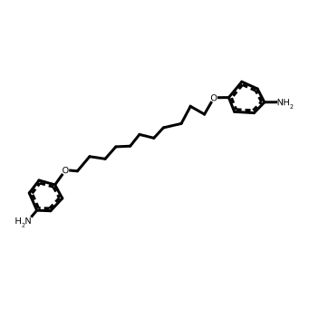 Nc1ccc(OCCCCCCCCCCCOc2ccc(N)cc2)cc1